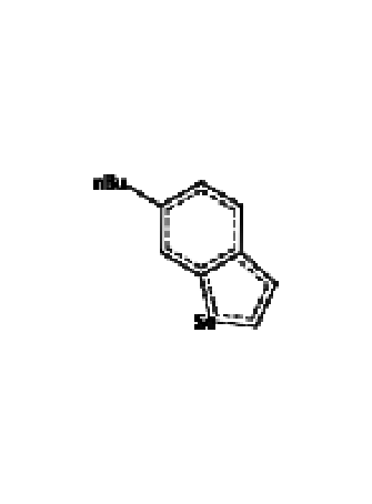 CCCCc1ccc2cc[se]c2c1